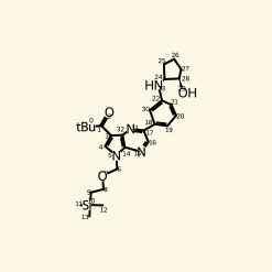 CC(C)(C)C(=O)c1cn(COCC[Si](C)(C)C)c2ncc(-c3cccc(N[C@@H]4CCC[C@H]4O)c3)nc12